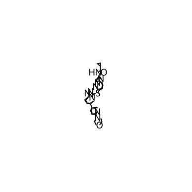 O=C(Nc1cn2nc(Sc3nnc4ccc(-c5ccc(N6CCOCC6)nc5)cn34)ccc2n1)C1CC1